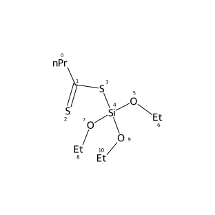 CCCC(=S)S[Si](OCC)(OCC)OCC